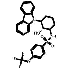 O=S(=O)(NC1CCCC(n2c3ccccc3c3ccccc32)[C@H]1O)c1ccc(OC(F)(F)F)cc1